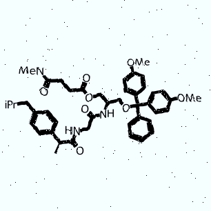 CNC(=O)CCC(=O)OCC(COC(c1ccccc1)(c1ccc(OC)cc1)c1ccc(OC)cc1)NC(=O)CNC(=O)[C@@H](C)c1ccc(CC(C)C)cc1